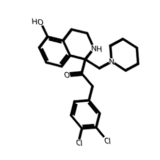 O=C(Cc1ccc(Cl)c(Cl)c1)C1(CN2CCCCC2)NCCc2c(O)cccc21